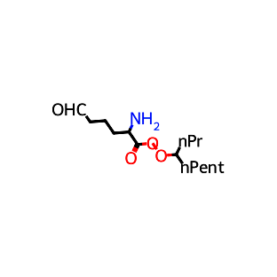 CCCCCC(CCC)OOC(=O)C(N)CCCC=O